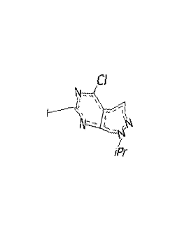 CC(C)n1ncc2c(Cl)nc(I)nc21